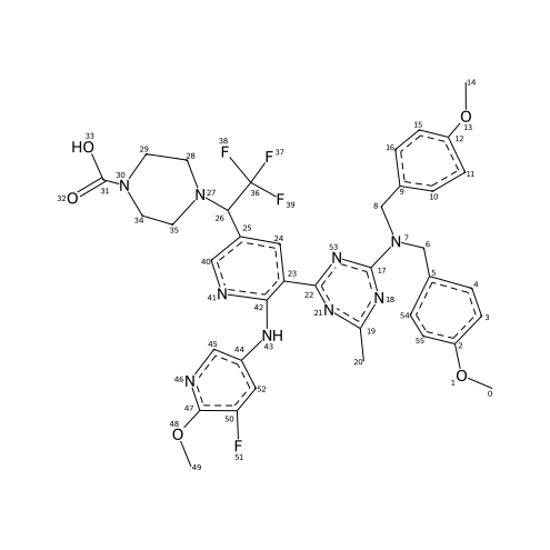 COc1ccc(CN(Cc2ccc(OC)cc2)c2nc(C)nc(-c3cc(C(N4CCN(C(=O)O)CC4)C(F)(F)F)cnc3Nc3cnc(OC)c(F)c3)n2)cc1